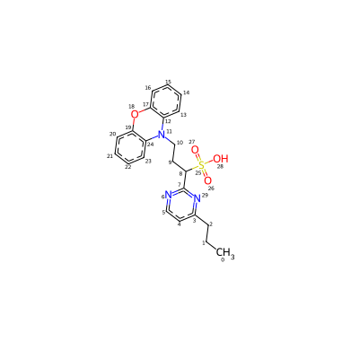 CCCc1ccnc(C(CCN2c3ccccc3Oc3ccccc32)S(=O)(=O)O)n1